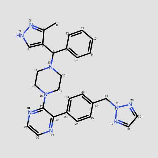 Cc1n[nH]cc1C(c1ccccc1)N1CCN(c2nccnc2-c2ccc(Cn3nccn3)cc2)CC1